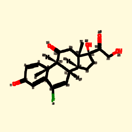 C[C@]12C=CC(=O)C=C1C(F)=C[C@@H]1[C@@H]2C(=O)C[C@@]2(C)[C@H]1CC[C@]2(O)C(=O)CO